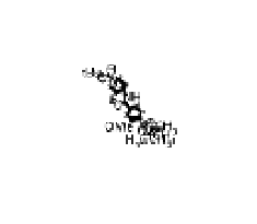 COc1cc(C(=O)NC2CCN(C(=O)OC(C)(C)C)CC2F)ccc1B1OC(C)(C)C(C)(C)O1